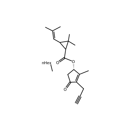 C#CCC1=C(C)[C@@H](OC(=O)C2C(C=C(C)C)C2(C)C)CC1=O.CCCCCCC